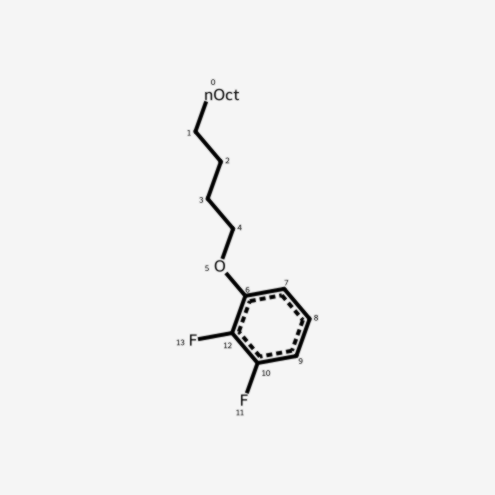 CCCCCCCCCCCCOc1cccc(F)c1F